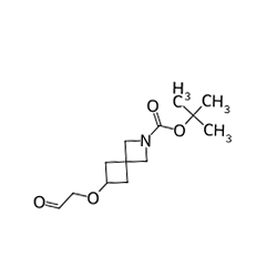 CC(C)(C)OC(=O)N1CC2(CC(OCC=O)C2)C1